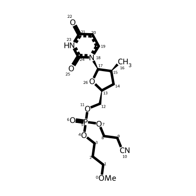 COCCCOP(=O)(OCCC#N)OC[C@@H]1C[C@H](C)[C@H](n2ccc(=O)[nH]c2=O)O1